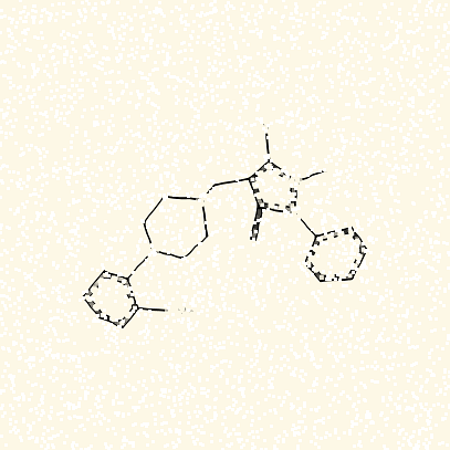 COc1ccccc1N1CCN(Cc2c(N)n(C)n(-c3ccccc3)c2=O)CC1